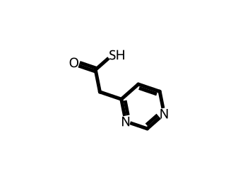 O=C(S)Cc1ccncn1